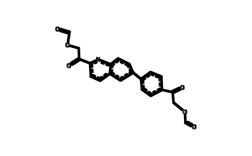 O=COCC(=O)c1ccc(-c2ccc3nc(C(=O)COC=O)ccc3c2)cc1